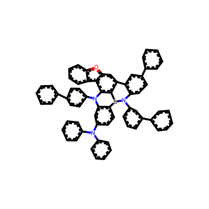 c1ccc(-c2ccc(N3c4cc(N(c5ccccc5)c5ccccc5)ccc4B4c5c(cc6oc7ccccc7c6c53)-c3cc(-c5ccccc5)ccc3N4c3cccc(-c4ccccc4)c3)cc2)cc1